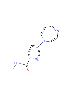 CNC(=O)c1ccc(N2C=CC=NC=C2)cn1